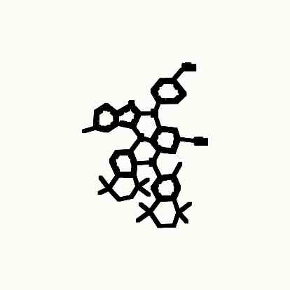 Cc1ccc2sc3c(c2c1)B1c2ccc4c(c2N(c2cc5c(cc2C)C(C)(C)CCC5(C)C)c2cc(C(C)(C)C)cc(c21)N3c1ccc(C(C)(C)C)cc1)C(C)(C)CCC4(C)C